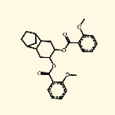 COc1ccccc1C(=O)OC1CC2C3CCC(C3)C2CC1OC(=O)c1ccccc1OC